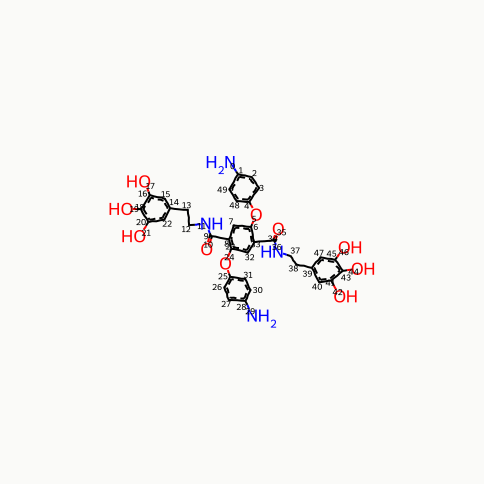 Nc1ccc(Oc2cc(C(=O)NCCc3cc(O)c(O)c(O)c3)c(Oc3ccc(N)cc3)cc2C(=O)NCCc2cc(O)c(O)c(O)c2)cc1